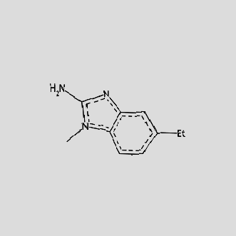 CCc1ccc2c(c1)nc(N)n2C